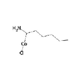 CCCCC[CH](N)[Co][Cl]